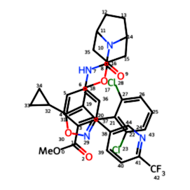 COC(=O)c1ccc(NC(=O)N2C3CCC2CC(OCc2c(-c4c(Cl)cccc4Cl)noc2C2CC2)C3)cc1-c1ccc(C(F)(F)F)nc1